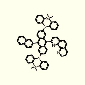 C[Si]1(C)c2ccccc2N(c2ccc3c(-c4ccc5ccc6cccnc6c5n4)c4cc(N5c6ccccc6[Si](C)(C)c6ccccc65)ccc4c(-c4ccc5ccccc5c4)c3c2)c2ccccc21